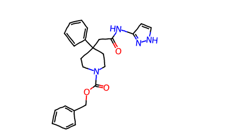 O=C(CC1(c2ccccc2)CCN(C(=O)OCc2ccccc2)CC1)Nc1cc[nH]n1